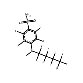 CN(c1c(F)c(F)c(S(N)(=O)=O)c(F)c1F)C(F)(F)C(F)(F)C(F)(F)C(F)(F)F